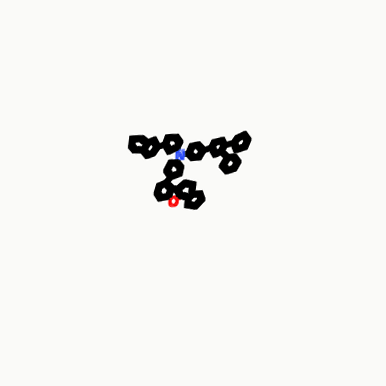 c1ccc(-c2ccc(-c3ccc(N(c4ccc(-c5cccc6oc7c8ccccc8ccc7c56)cc4)c4cccc(-c5ccc6ccccc6c5)c4)cc3)cc2-c2ccccc2)cc1